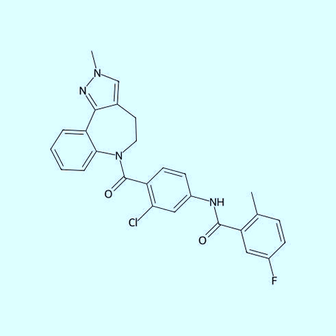 Cc1ccc(F)cc1C(=O)Nc1ccc(C(=O)N2CCc3cn(C)nc3-c3ccccc32)c(Cl)c1